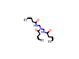 CC/C=C\CC(=O)NCN(CNC(=O)C/C=C\CC)C(=O)C/C=C\CC